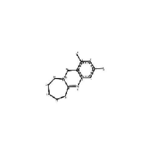 Cc1cc(C)c2c(c1)N=C1CCCCCN1C2